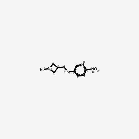 CCN1CC(CNc2ccc([N+](=O)[O-])nc2)C1